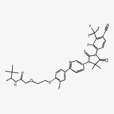 CC(NC(=O)COCCOc1ccc(-c2ccc(N3C(=S)N(c4ccc(C#N)c(C(F)(F)F)c4F)C(=O)C3(C)C)cn2)cc1F)C(C)(C)C